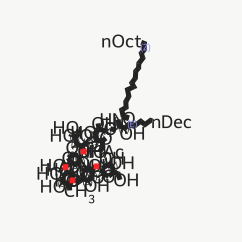 CCCCCCCC/C=C\CCCCCCCCCCCCCC(=O)N[C@@H](CO[C@@H]1OC(CO)[C@@H](O[C@@H]2OC(CO)[C@H](O)[C@H](O[C@@H]3OC(CO)[C@@H](O[C@H]4OC(C)[C@@H](O)C(O)[C@@H]4O)[C@H](O[C@@H]4OC(CO)[C@H](O)[C@H](O[C@@H]5OC(CO)[C@@H](O)[C@H](O)C5NC(C)=O)C4O)C3NC(C)=O)C2O)[C@H](O)C1O)[C@H](O)/C=C/CCCCCCCCCCCCC